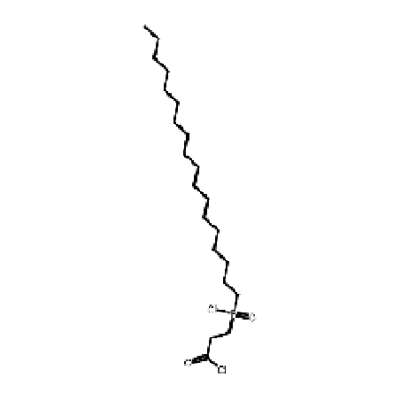 CCCCCCCCCCCCCCCCCCP(=O)(Cl)CCC(=O)Cl